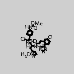 COC(=O)Nc1ccc(-c2nc(C(Cc3ccnn3C)NC(=O)C=Cc3cc(Cl)ccc3-n3cnnn3)[nH]c2Cl)cc1